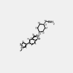 Cn1cc(-c2ccc3nn([C@H]4CC[C@H](CN)CC4)cc3c2)cn1